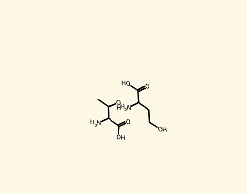 CC(O)C(N)C(=O)O.NC(CCO)C(=O)O